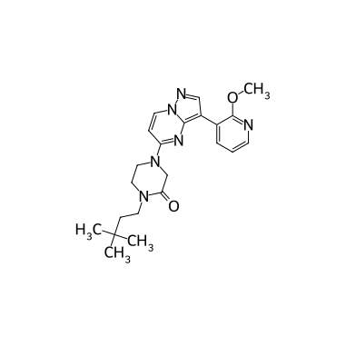 COc1ncccc1-c1cnn2ccc(N3CCN(CCC(C)(C)C)C(=O)C3)nc12